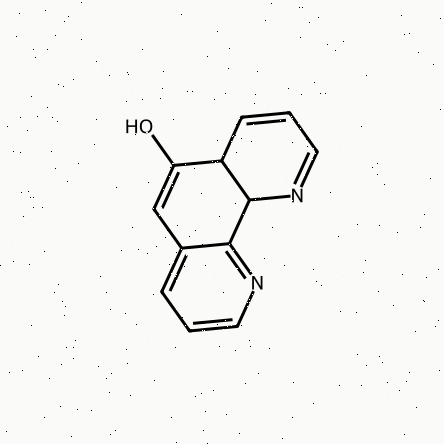 OC1=Cc2cccnc2C2N=CC=CC12